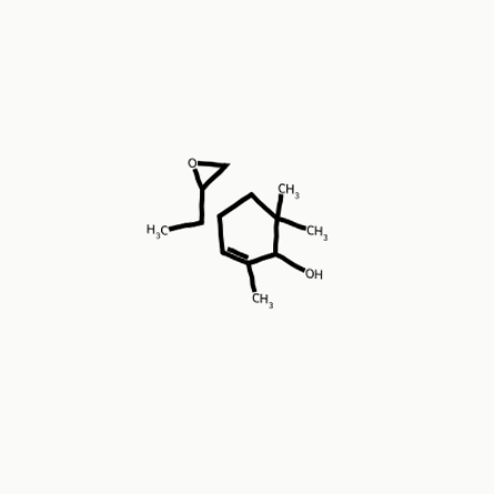 CC1=CCCC(C)(C)C1O.CCC1CO1